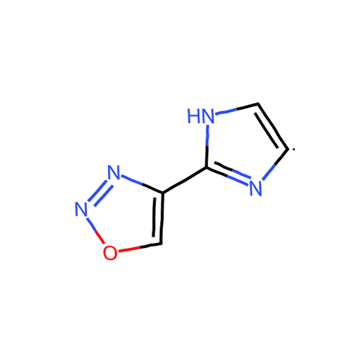 [c]1c[nH]c(-c2conn2)n1